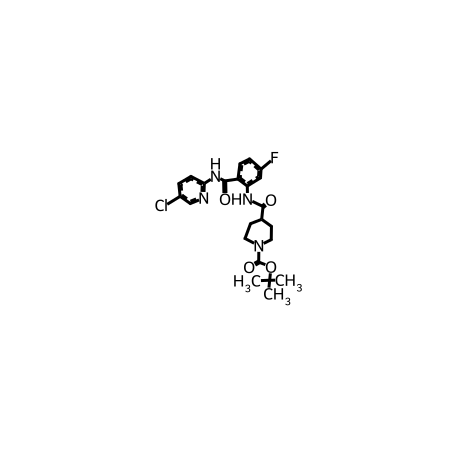 CC(C)(C)OC(=O)N1CCC(C(=O)Nc2cc(F)ccc2C(=O)Nc2ccc(Cl)cn2)CC1